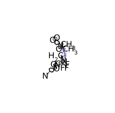 C=C(/C=C\C=C(/C)C(=O)N(C)c1ccc2c(c1)OCO2)n1nc(C(F)(F)F)c2c1CCN(S(=O)(=O)c1ccc(C#N)cc1)C2